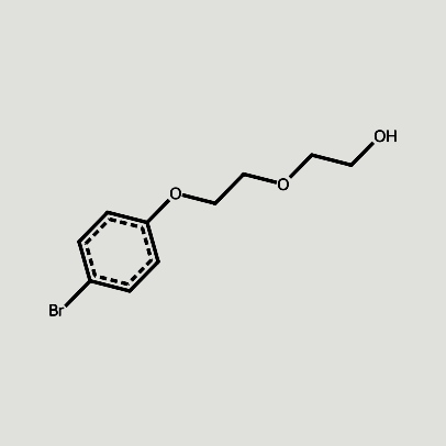 OCCOCCOc1ccc(Br)cc1